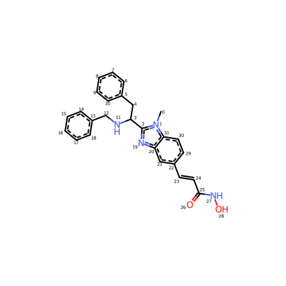 Cn1c(C(Cc2ccccc2)NCc2ccccc2)nc2cc(/C=C/C(=O)NO)ccc21